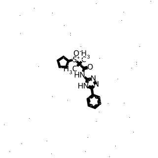 CC(C)(C(=O)Nc1nnc(-c2ccccc2)[nH]1)[S+]([O-])C1CCCC1